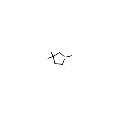 CC(C)N1CC(F)(F)C[C@H]1C(=O)O